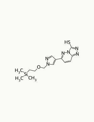 C[Si](C)(C)CCOCn1cc(-c2ccc3nnc(S)n3n2)cn1